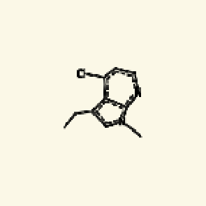 CCc1cn(C)c2nccc(Cl)c12